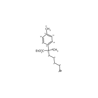 CCOC(=O)C(C)(CCCCBr)c1ccc(C)cc1